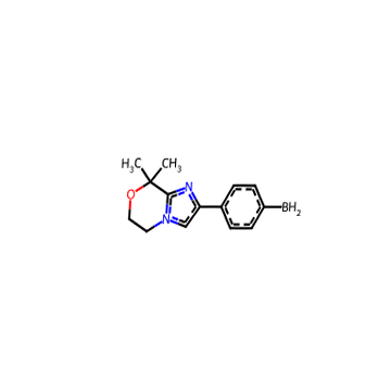 Bc1ccc(-c2cn3c(n2)C(C)(C)OCC3)cc1